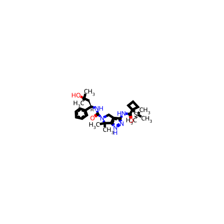 CC(C)(O)C[C@@H](NC(=O)N1Cc2c(NC(=O)C3([Si](C)(C)C)CCC3)n[nH]c2C1(C)C)c1ccccc1